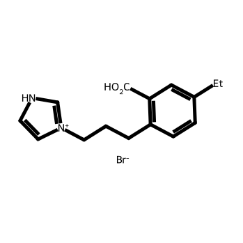 CCc1ccc(CCC[n+]2cc[nH]c2)c(C(=O)O)c1.[Br-]